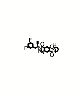 C#C[C@H](Cc1cc(F)cc(F)c1)n1nnc2cc3c(cc2c1=O)O[C@@H]1CCCN1C3=O